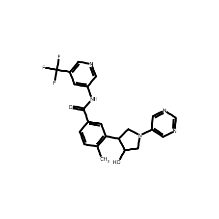 Cc1ccc(C(=O)Nc2cncc(C(F)(F)F)c2)cc1C1CN(c2cncnc2)CC1O